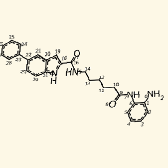 Nc1ccccc1NC(=O)CCCCCNC(=O)c1cc2cc(-c3ccccc3)ccc2[nH]1